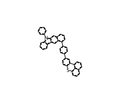 c1ccc(-n2c3ccccc3c3cc4c(-c5ccc(-c6ccc7c(c6)-c6cccc8cccc(c68)S7)cc5)cccc4cc32)cc1